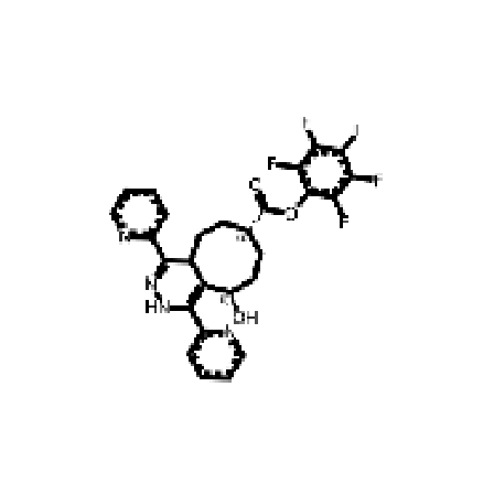 O=C(Oc1c(F)c(F)c(F)c(F)c1F)[C@H]1CCC2C(c3ccccn3)=NNC(c3ccccn3)=C2[C@H](O)CC1